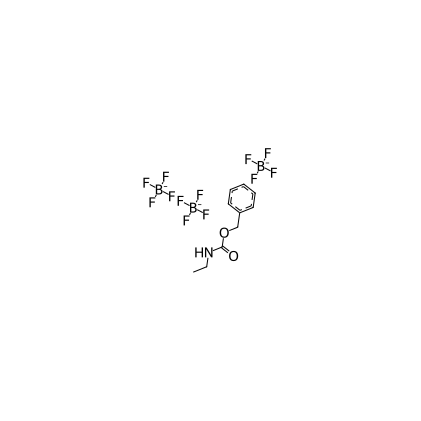 CCNC(=O)OCc1ccccc1.F[B-](F)(F)F.F[B-](F)(F)F.F[B-](F)(F)F